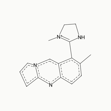 Cc1ccc2nc3cccn3cc2c1C1=[N+](C)CCN1